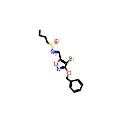 CCCC[S+]([O-])/N=C/c1onc(OCc2ccccc2)c1Br